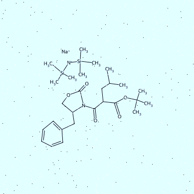 CC(C)CC(C(=O)OC(C)(C)C)C(=O)N1C(=O)OCC1Cc1ccccc1.C[Si](C)(C)[N-][Si](C)(C)C.[Na+]